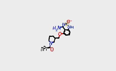 CCCC(=O)N1CCCC(COc2cccc3c2C(N)=N[S@+]([O-])N3)C1